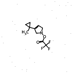 CC1(C2=CCN(OC(=O)C(F)(F)F)C2)CC1